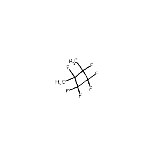 CC1(F)C(C)(F)C(F)(F)C1(F)F